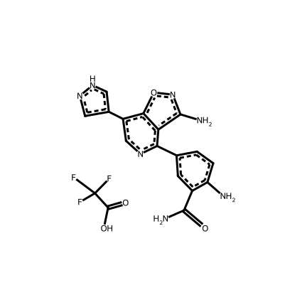 NC(=O)c1cc(-c2ncc(-c3cn[nH]c3)c3onc(N)c23)ccc1N.O=C(O)C(F)(F)F